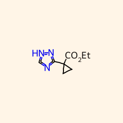 CCOC(=O)C1(c2nc[nH]n2)CC1